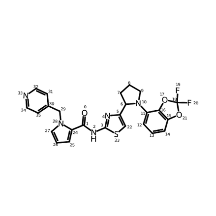 O=C(Nc1nc(C2CCCN2c2cccc3c2OC(F)(F)O3)cs1)c1cccn1Cc1ccncc1